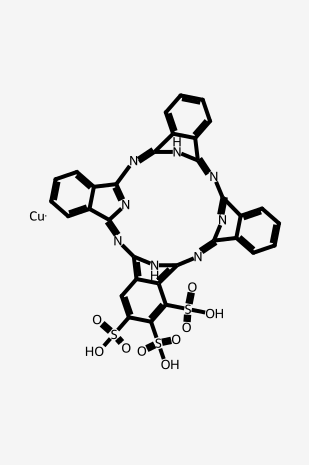 O=S(=O)(O)c1cc2c3nc4nc(nc5[nH]c(nc6nc(nc([nH]3)c2c(S(=O)(=O)O)c1S(=O)(=O)O)-c1ccccc1-6)c1ccccc51)-c1ccccc1-4.[Cu]